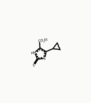 CCOC(=O)c1[nH]c(=S)sc1C1CC1